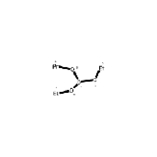 CCOB(OCC)OC(C)C